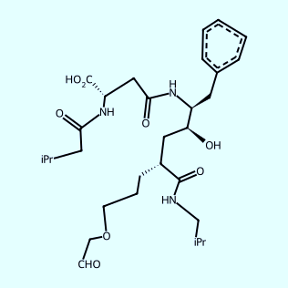 CC(C)CNC(=O)[C@H](CCCOCC=O)C[C@H](O)[C@H](Cc1ccccc1)NC(=O)C[C@H](NC(=O)CC(C)C)C(=O)O